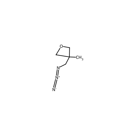 CC1(CN=[N+]=[N-])COC1